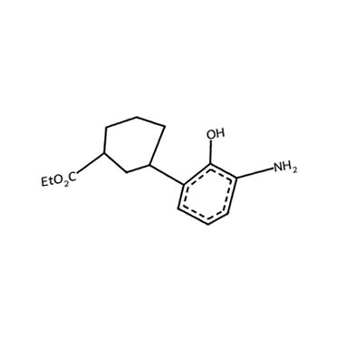 CCOC(=O)C1CCCC(c2cccc(N)c2O)C1